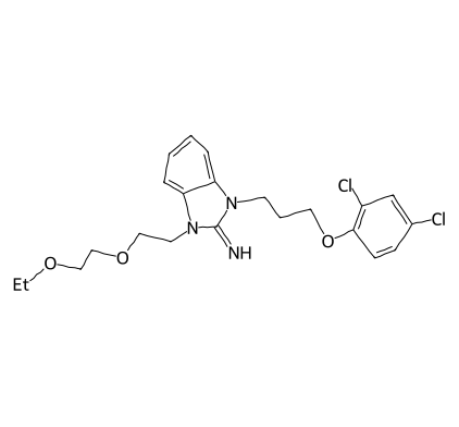 CCOCCOCCn1c(=N)n(CCCOc2ccc(Cl)cc2Cl)c2ccccc21